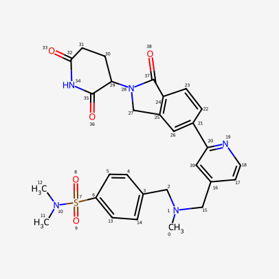 CN(Cc1ccc(S(=O)(=O)N(C)C)cc1)Cc1ccnc(-c2ccc3c(c2)CN(C2CCC(=O)NC2=O)C3=O)c1